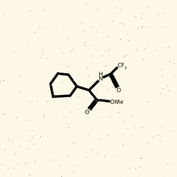 COC(=O)C(NC(=O)C(F)(F)F)C1CCCCC1